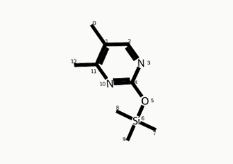 Cc1cnc(O[Si](C)(C)C)nc1C